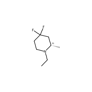 CCN1CCC(F)(F)C[C@@H]1C